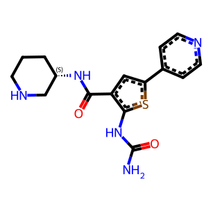 NC(=O)Nc1sc(-c2ccncc2)cc1C(=O)N[C@H]1CCCNC1